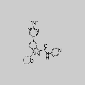 CN(C)c1ncc(-c2ccc3c(c2)c(C(=O)Nc2ccncc2)nn3C2CCCCO2)cn1